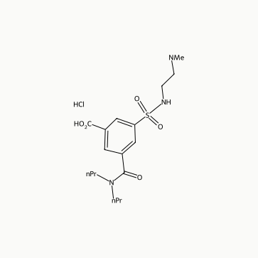 CCCN(CCC)C(=O)c1cc(C(=O)O)cc(S(=O)(=O)NCCNC)c1.Cl